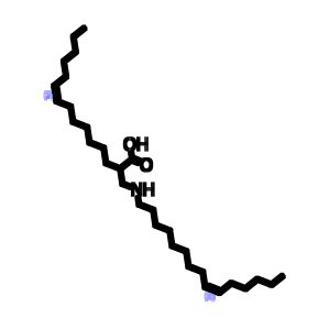 CCCCC/C=C\CCCCCCCCNCC(CCCCCC/C=C\CCCCC)C(=O)O